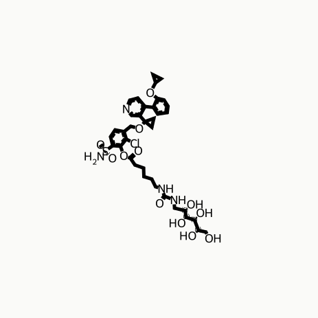 NS(=O)(=O)c1ccc(COC2(c3cnccc3-c3ccccc3OC3CC3)CC2)c(Cl)c1OC(=O)CCCCCNC(=O)NC[C@H](O)[C@@H](O)[C@H](O)[C@H](O)CO